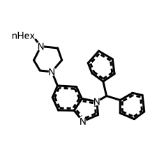 CCCCCCN1CCN(c2ccc3ncn(C(c4ccccc4)c4ccccc4)c3c2)CC1